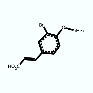 CCCCCCOc1ccc(C=CC(=O)O)cc1Br